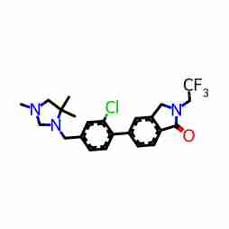 CN1CN(Cc2ccc(-c3ccc4c(c3)CN(CC(F)(F)F)C4=O)c(Cl)c2)C(C)(C)C1